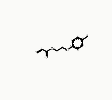 C=CC(=O)OCCOc1ccc(C)cc1